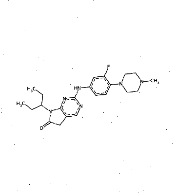 CCC(CC)N1C(=O)Cc2cnc(Nc3ccc(N4CCN(C)CC4)c(F)c3)nc21